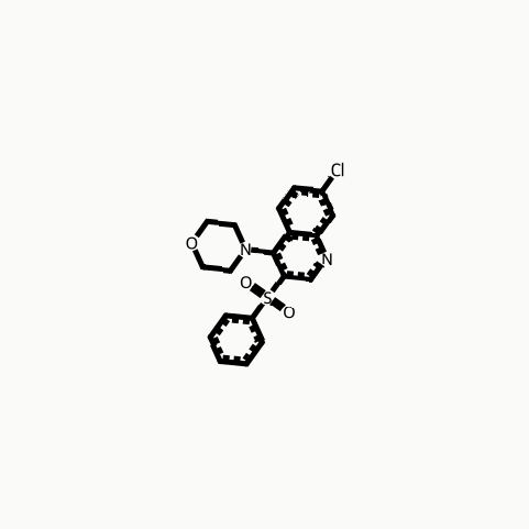 O=S(=O)(c1ccccc1)c1cnc2cc(Cl)ccc2c1N1CCOCC1